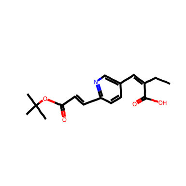 CCC(=Cc1ccc(C=CC(=O)OC(C)(C)C)nc1)C(=O)O